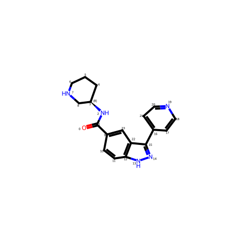 O=C(N[C@@H]1CCCNC1)c1ccc2[nH]nc(-c3ccncc3)c2c1